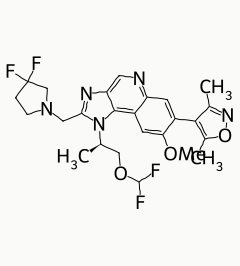 COc1cc2c(cc1-c1c(C)noc1C)ncc1nc(CN3CCC(F)(F)C3)n([C@H](C)COC(F)F)c12